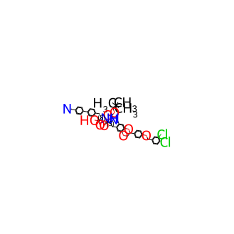 CC(C)(C)COC(=O)N1Cc2cc3c(cc2C[C@H]1C(=O)N[C@@H](Cc1ccc(-c2ccc(C#N)cc2)cc1)C(=O)O)OCC(c1ccc(OCc2ccc(Cl)c(Cl)c2)cc1)O3